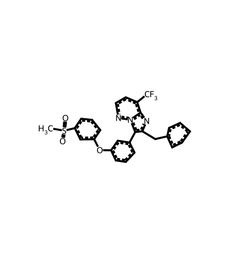 CS(=O)(=O)c1cccc(Oc2cccc(-c3c(Cc4ccccc4)nc4c(C(F)(F)F)ccnn34)c2)c1